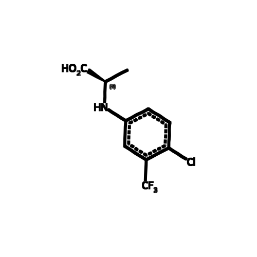 C[C@@H](Nc1ccc(Cl)c(C(F)(F)F)c1)C(=O)O